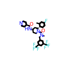 Cc1cc(F)ccc1[C@H]1C[C@@H](NC(=O)c2ccncc2)CCN1C(=O)N(C)Cc1cc(C(F)(F)F)cc(C(F)(F)F)c1